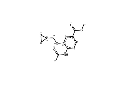 COC(=O)c1ccc(NC(C)=O)c(OC[C@@H]2CO2)c1